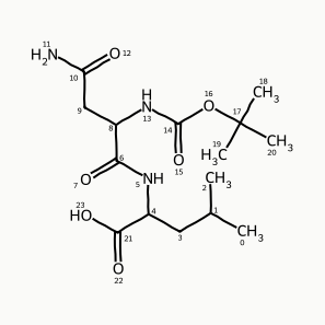 CC(C)CC(NC(=O)C(CC(N)=O)NC(=O)OC(C)(C)C)C(=O)O